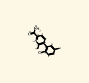 Cc1ccc(Cl)c(-c2ccc(C(N)=O)nc2C)c1